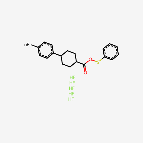 CCCc1ccc(C2CCC(C(=O)OSc3ccccc3)CC2)cc1.F.F.F.F.F